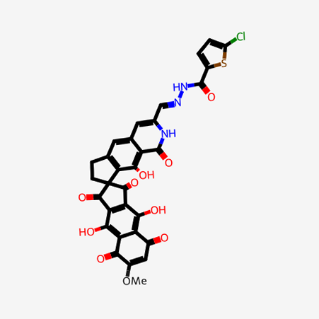 COC1=CC(=O)c2c(O)c3c(c(O)c2C1=O)C(=O)C1(CCc2cc4cc(C=NNC(=O)c5ccc(Cl)s5)[nH]c(=O)c4c(O)c21)C3=O